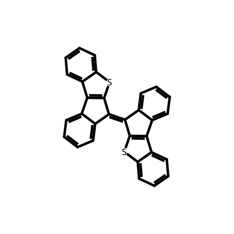 c1ccc2c(c1)C(=C1c3ccccc3-c3c1sc1ccccc31)c1sc3ccccc3c1-2